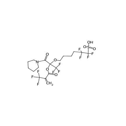 C=C(C(=O)OC(OCCCCC(F)(F)C(F)(F)S(=O)(=O)O)(C(=O)N1CCCCC1)C(F)(F)F)C(F)(F)F